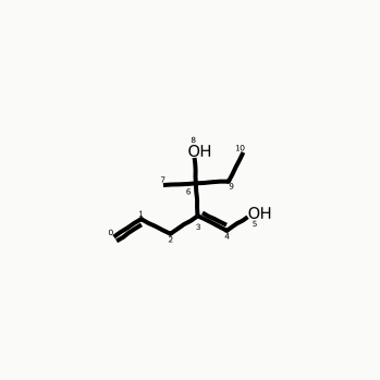 C=CCC(=CO)C(C)(O)CC